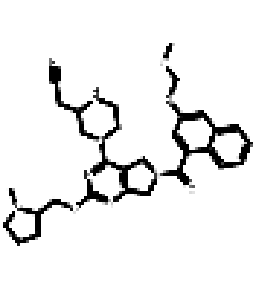 COCOc1cc(C(=O)N2Cc3nc(OCC4CCCN4C)nc(N4CCNC(CC#N)C4)c3C2)c2ccccc2c1